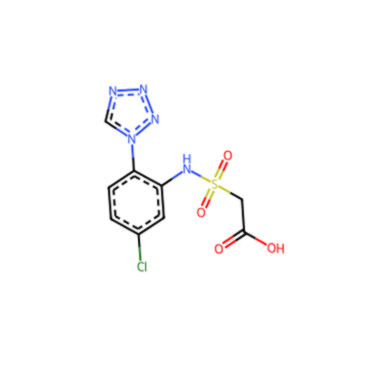 O=C(O)CS(=O)(=O)Nc1cc(Cl)ccc1-n1cnnn1